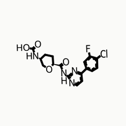 O=C(O)N[C@@H]1CC[C@@H](C(=O)Nc2nccc(-c3ccc(Cl)c(F)c3)n2)OC1